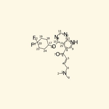 CN(C)C/C=C/C(=O)c1c[nH]c2ncnc(OC3CCC(F)(F)CC3)c12